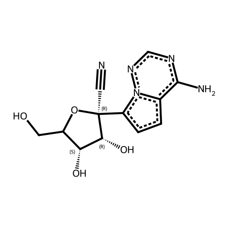 N#C[C@@]1(c2ccc3c(N)ncnn23)OC(CO)[C@@H](O)[C@H]1O